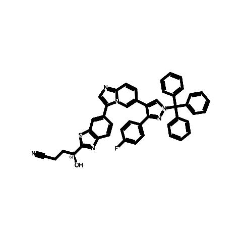 N#CCC[C@H](O)c1nc2ccc(-c3cnc4ccc(-c5cn(C(c6ccccc6)(c6ccccc6)c6ccccc6)nc5-c5ccc(F)cc5)cn34)cc2s1